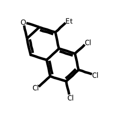 CCc1c2c(cc3c(Cl)c(Cl)c(Cl)c(Cl)c13)O2